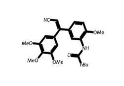 CCCCC(=O)Nc1cc(C(=CC#N)c2cc(OC)c(OC)c(OC)c2)ccc1OC